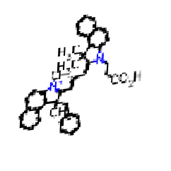 C[N+]1=C(/C=C/C=C2/N(CCC(=O)O)c3ccc4ccccc4c3C2(C)C)C(C)(Cc2ccccc2)c2c1ccc1ccccc21